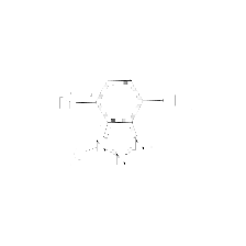 Cc1ccc(C(C)C)c2c1nnn2C